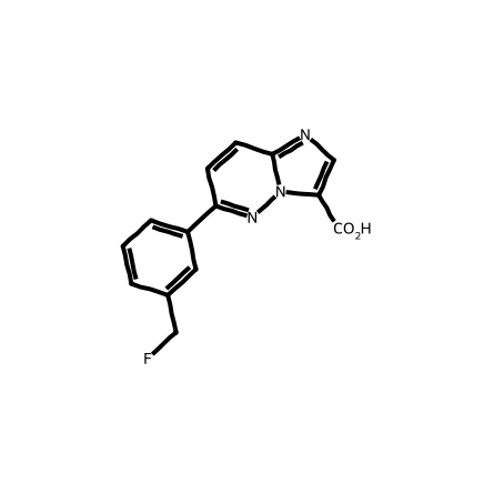 O=C(O)c1cnc2ccc(-c3cccc(CF)c3)nn12